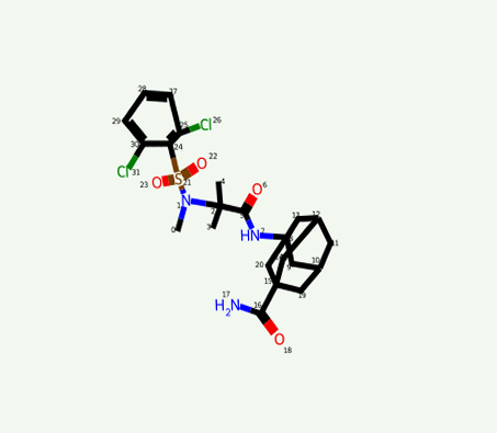 CN(C(C)(C)C(=O)NC12CC3CC(C1)CC(C(N)=O)(C3)C2)S(=O)(=O)c1c(Cl)cccc1Cl